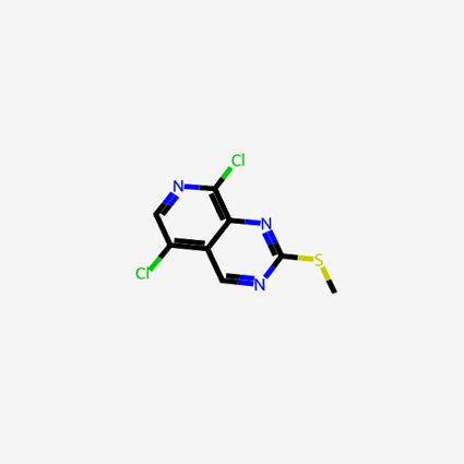 CSc1ncc2c(Cl)cnc(Cl)c2n1